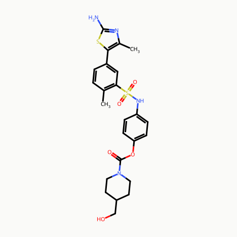 Cc1ccc(-c2sc(N)nc2C)cc1S(=O)(=O)Nc1ccc(OC(=O)N2CCC(CO)CC2)cc1